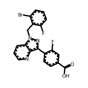 O=C(O)c1ccc(-c2nn(Cc3c(F)cccc3Br)c3cccnc23)c(F)c1